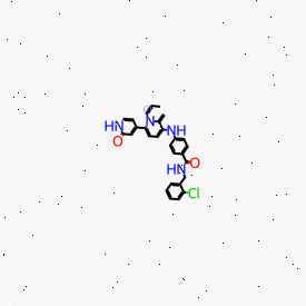 C=C1C(Nc2ccc(C(=O)NCc3ccccc3Cl)cc2)=CC=C(c2cc[nH]c(=O)c2)N1/C=C\C